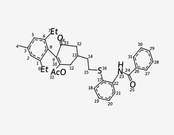 CCc1cc(C)cc(CC)c1C1=C(OC(C)=O)CC(CCSc2ccccc2NC(=O)c2ccccc2)CC1=O